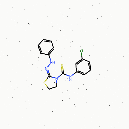 S=C(Nc1cccc(Cl)c1)N1CCS/C1=N/Nc1ccccc1